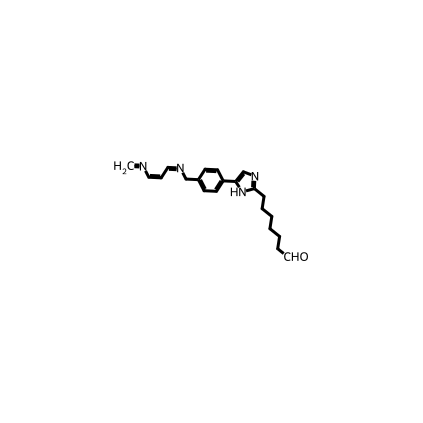 C=N/C=C\C=N/Cc1ccc(-c2cnc(CCCCCCC=O)[nH]2)cc1